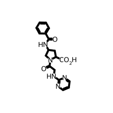 O=C(NC1CC(C(=O)O)N(C(=O)CNc2ncccn2)C1)c1ccccc1